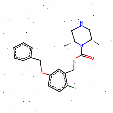 C[C@@H]1CNC[C@H](C)N1C(=O)OCc1cc(OCc2ccccc2)ccc1F